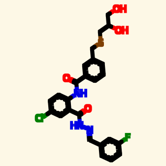 O=C(Nc1ccc(Cl)cc1C(=O)N/N=C/c1cccc(F)c1)c1cccc(CSCC(O)CO)c1